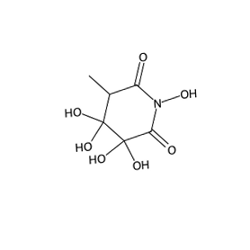 CC1C(=O)N(O)C(=O)C(O)(O)C1(O)O